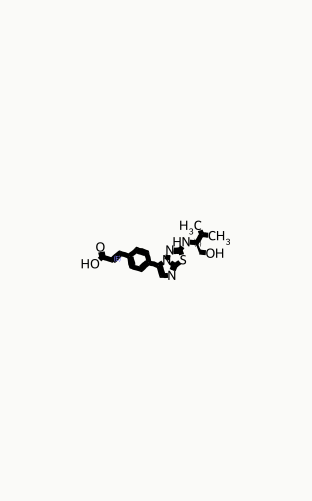 CC(C)[C@@H](CO)Nc1nn2c(-c3ccc(/C=C/C(=O)O)cc3)cnc2s1